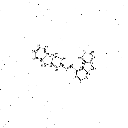 C(=N\c1cccc2oc3ccccc3c12)/c1ccc2c(c1)sc1ccccc12